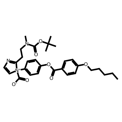 CCCCCOc1ccc(C(=O)Oc2ccc([N+]3(C(=O)[O-])C=CN=C3CCN(C)C(=O)OC(C)(C)C)cc2)cc1